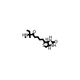 CCC(C)(NC)C(=O)CCCCC1SC[C@@H]2NC(=O)N[C@H]12